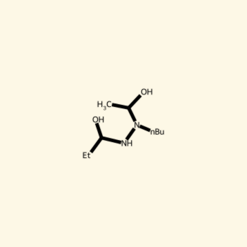 CCCCN(NC(O)CC)C(C)O